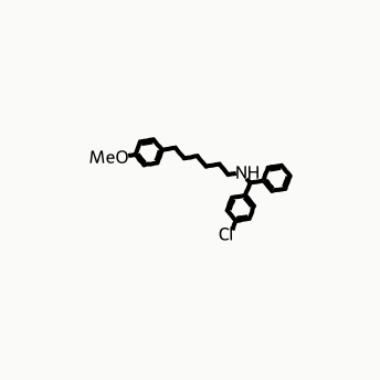 COc1ccc(CCCCCCNC(c2ccccc2)c2ccc(Cl)cc2)cc1